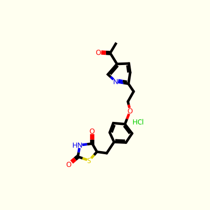 CC(=O)c1ccc(CCOc2ccc(CC3SC(=O)NC3=O)cc2)nc1.Cl